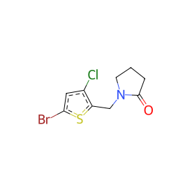 O=C1CCCN1Cc1sc(Br)cc1Cl